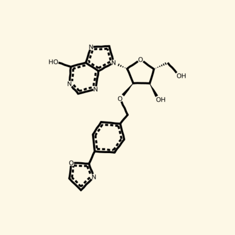 OC[C@H]1O[C@@H](n2cnc3c(O)ncnc32)[C@H](OCc2ccc(-c3ncco3)cc2)[C@@H]1O